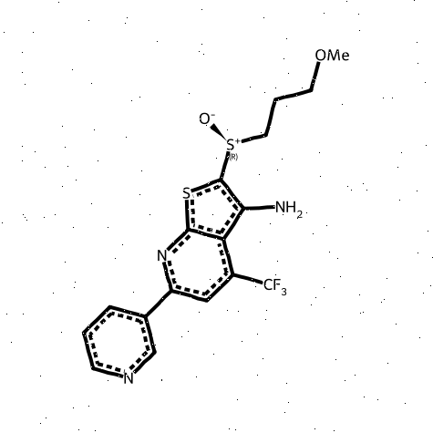 COCCC[S@+]([O-])c1sc2nc(-c3cccnc3)cc(C(F)(F)F)c2c1N